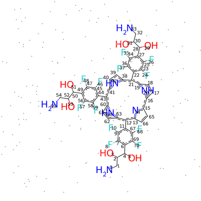 NCC(O)C(O)c1c(F)c(F)c(-c2c3nc(c4ccc([nH]4)c(-c4c(F)c(F)c(C(O)C(O)CN)c(F)c4F)c4ccc([nH]4)c(-c4c(F)c(F)c(C(O)C(O)CN)c(F)c4F)c4ccc2[nH]4)C=C3)c(F)c1F